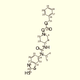 CC(C)N(C(=O)NC1CCN(OC(=O)OCc2ccccc2)CC1)c1ccc2nc(S)sc2c1